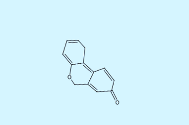 O=C1C=CC2=C3CC=CC=C3OCC2=C1